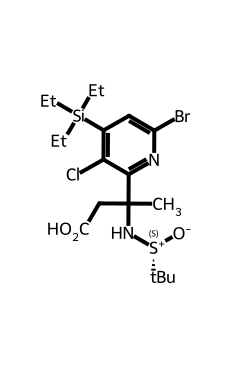 CC[Si](CC)(CC)c1cc(Br)nc(C(C)(CC(=O)O)N[S@+]([O-])C(C)(C)C)c1Cl